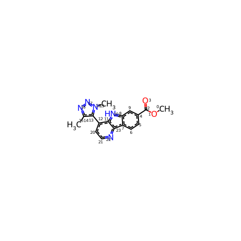 COC(=O)c1ccc2c(c1)[nH]c1c(-c3c(C)nnn3C)ccnc12